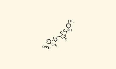 Cc1ccc(NC(=O)CN2C(=O)S/C(=C\c3ccc(-c4cccc(C(=O)N=O)c4C)o3)C2=O)cc1